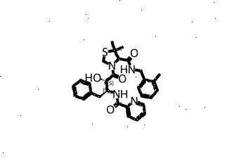 Cc1ccccc1CNC(=O)C1N(C(=O)[C@@H](O)[C@H](Cc2ccccc2)NC(=O)c2ccccn2)CSC1(C)C